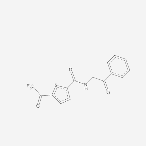 O=C(CNC(=O)c1ccc(C(=O)C(F)(F)F)s1)c1ccccc1